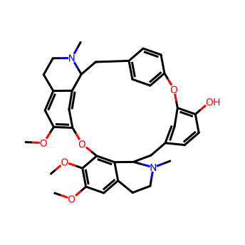 COc1cc2c3cc1Oc1c(OC)c(OC)cc4c1C(Cc1ccc(O)c(c1)Oc1ccc(cc1)CC3N(C)CC2)N(C)CC4